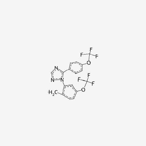 [CH2]c1ccc(OC(F)(F)F)cc1-n1ncnc1-c1ccc(OC(F)(F)F)cc1